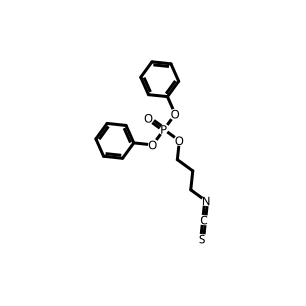 O=P(OCCCN=C=S)(Oc1ccccc1)Oc1ccccc1